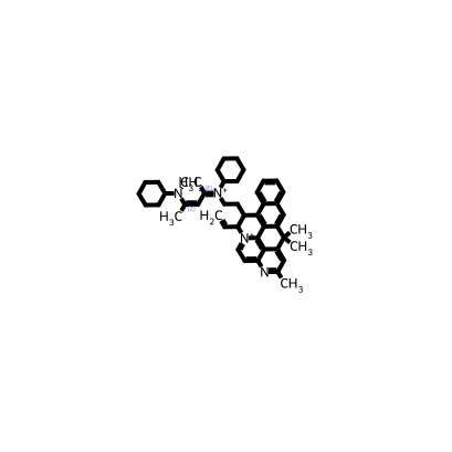 C=CC1C(CC/[N+](=C(C)\C=C(\C)N(C)C2CCCCC2)C2CCCCC2)c2c3c(cc4ccccc24)C(C)(C)c2cc(C)nc4cc[n+]1c-3c24